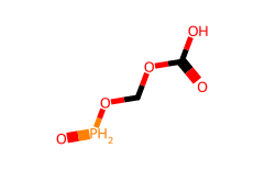 O=[PH2]OCOC(=O)O